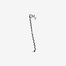 [C]#CCCCCCCCCCCCCCCCCCCCCCCCCC